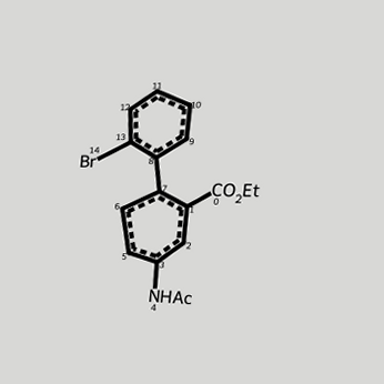 CCOC(=O)c1cc(NC(C)=O)ccc1-c1ccccc1Br